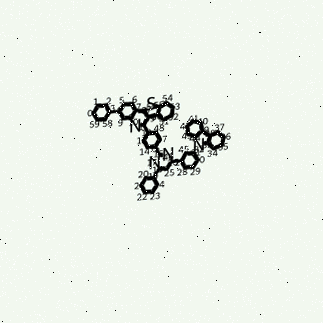 c1ccc(-c2ccc3c(c2)nc(-c2ccc(-c4nc(-c5ccccc5)cc(-c5cccc(-n6c7ccccc7c7ccccc76)c5)n4)cc2)c2c4ccccc4sc32)cc1